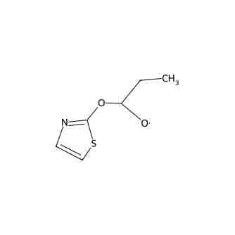 CCC([O])Oc1nccs1